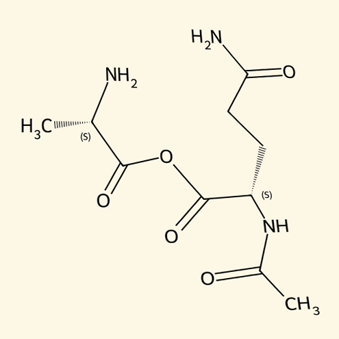 CC(=O)N[C@@H](CCC(N)=O)C(=O)OC(=O)[C@H](C)N